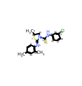 Cc1ccc(N=C2SC(C)CN2C(=S)Nc2cccc(Cl)c2)c(C)c1